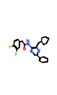 O=C(Cc1ccc(F)c(F)c1)Nc1ncc(-c2ccccc2)nc1CC1CCCCC1